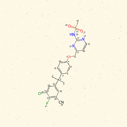 CC(C)(c1ccc(OCc2ccnc(NS(C)(=O)=O)n2)cc1)c1cc(Cl)c(F)c(C#N)c1